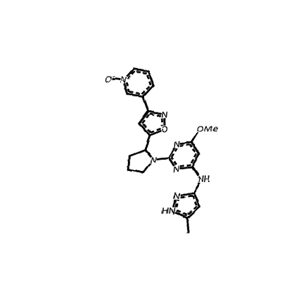 COc1cc(Nc2cc(C)[nH]n2)nc(N2CCCC2c2cc(-c3ccc[n+]([O-])c3)no2)n1